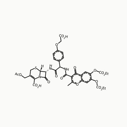 CCOC(=O)Oc1cc2oc(C)c(C(=O)NC(C(=O)N[C@@H]3C(=O)N4C(C(=O)O)=C(COC(C)=O)CS[C@H]34)c3ccc(OCC(=O)O)cc3)c(=O)c2cc1OC(=O)OCC